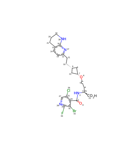 O=C(N[C@@H](CCO[C@H]1C[C@@H](CCc2ccc3c(n2)NCCC3)C1)C(=O)O)c1c(Cl)cnc(F)c1Br